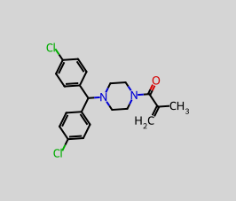 C=C(C)C(=O)N1CCN(C(c2ccc(Cl)cc2)c2ccc(Cl)cc2)CC1